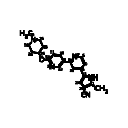 Cc1[nH]c(-c2ccnc(-c3ccc(OC4CCN(C)CC4)nc3)c2)cc1C#N